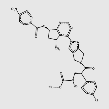 CC(C)N(C[C@@H](C(=O)N1Cc2cn(-c3ncnc4c3[C@H](C)C[C@H]4OC(=O)c3ccc([N+](=O)[O-])cc3)nc2C1)c1ccc(Cl)cc1)C(=O)OC(C)(C)C